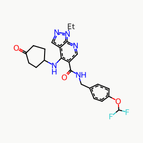 CCn1ncc2c(NC3CCC(=O)CC3)c(C(=O)NCc3ccc(OC(F)F)cc3)cnc21